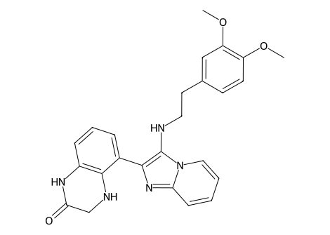 COc1ccc(CCNc2c(-c3cccc4c3NCC(=O)N4)nc3ccccn23)cc1OC